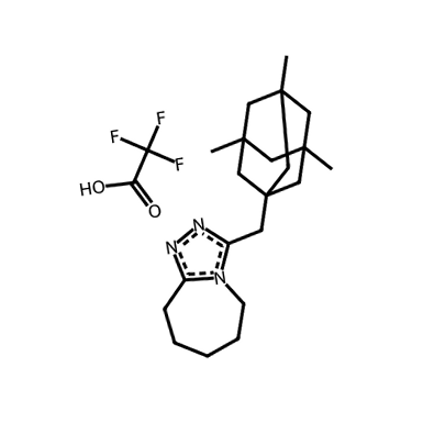 CC12CC3(C)CC(C)(C1)CC(Cc1nnc4n1CCCCC4)(C2)C3.O=C(O)C(F)(F)F